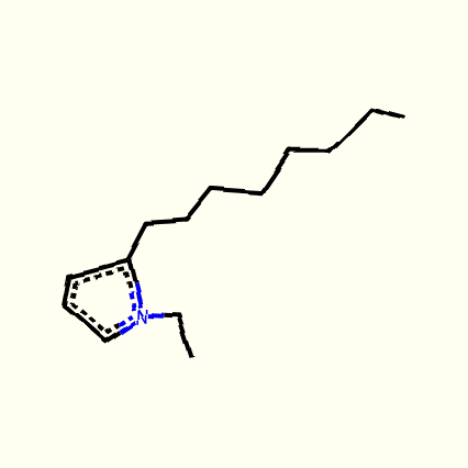 CCCCCCCCc1cccn1CC